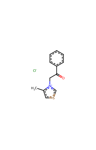 Cc1csc[n+]1CC(=O)c1ccccc1.[Cl-]